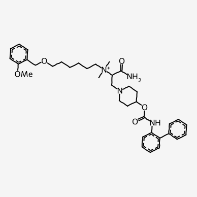 COc1ccccc1COCCCCCC[N+](C)(C)C(CN1CCC(OC(=O)Nc2ccccc2-c2ccccc2)CC1)C(N)=O